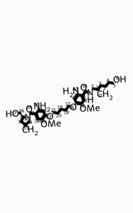 C=C(CCCCO)CNC(=O)c1cc(OC)c(OCCCCCOc2cc(N)c(C(=O)N3CC(=C)C[C@H]3CO)cc2OC)cc1N